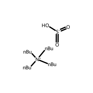 CCCC[N+](CCCC)(CCCC)CCCC.O=[S-](=O)O